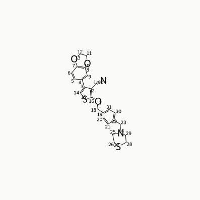 N#Cc1c(-c2ccc3c(c2)OCCO3)csc1OCc1ccc(CN2CCSCC2)cc1